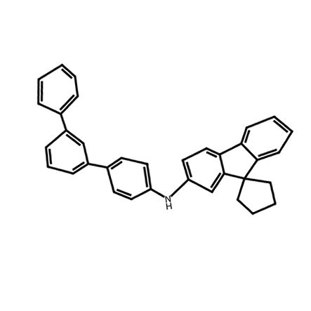 c1ccc(-c2cccc(-c3ccc(Nc4ccc5c(c4)C4(CCCC4)c4ccccc4-5)cc3)c2)cc1